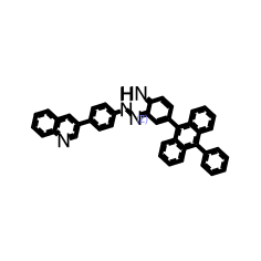 N=C1C=CC(c2c3ccccc3c(-c3ccccc3)c3ccccc23)=C/C1=N/Nc1ccc(-c2cnc3ccccc3c2)cc1